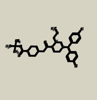 COC[C@H]1CN(C(c2ccc(Cl)cc2)c2ccc(Cl)cc2)CCN1C(=O)CC1CCN(C(=O)OC(C)(C)C)CC1